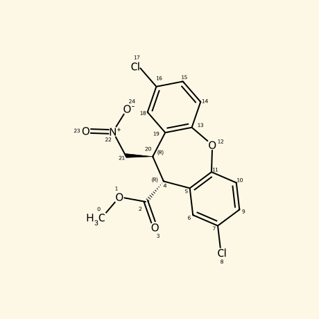 COC(=O)[C@H]1c2cc(Cl)ccc2Oc2ccc(Cl)cc2[C@@H]1C[N+](=O)[O-]